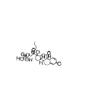 CCCC(=O)O[C@]1(C(=O)COP(=O)(O)O)CC[C@H]2[C@@H]3CCC4=CC(=O)C=C[C@]4(C)[C@H]3C(=O)C[C@@]21C